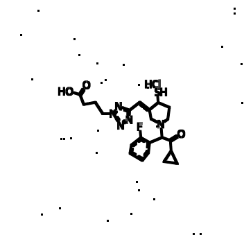 Cl.O=C(O)CCCn1nnc(/C=C2\CN(C(C(=O)C3CC3)c3ccccc3F)CCC2S)n1